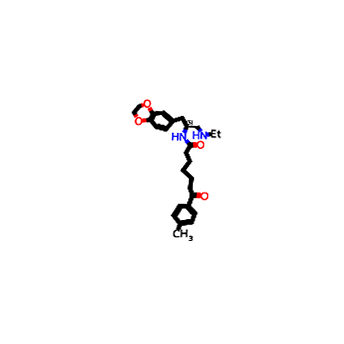 CCNC[C@H](Cc1ccc2c(c1)OCCO2)NC(=O)CCCCCC(=O)c1ccc(C)cc1